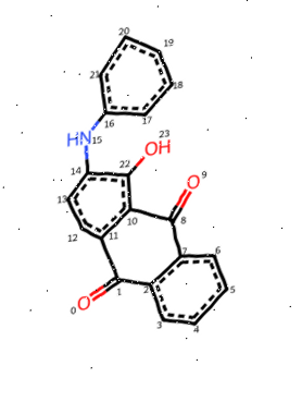 O=C1c2ccccc2C(=O)c2c1ccc(Nc1ccccc1)c2O